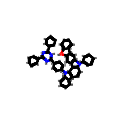 c1ccc(-c2nc(-c3ccccc3)nc(-c3ccc(-n4c5ccccc5c5ccc6c(c7cc8oc9ccccc9c8cc7n6-c6ccccc6)c54)cc3)n2)cc1